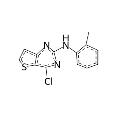 Cc1ccccc1Nc1nc(Cl)c2sccc2n1